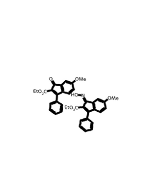 CCOC(=O)C1=C(c2ccccc2)c2ccc(OC)cc2/C1=N/O.CCOC(=O)C1=C(c2ccccc2)c2ccc(OC)cc2C1=O